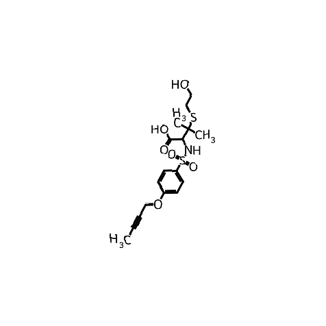 CC#CCOc1ccc(S(=O)(=O)NC(C(=O)O)C(C)(C)SCCO)cc1